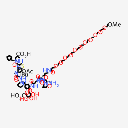 CC[C@H](C)[C@H](NC(=O)[C@H]1CCCC[N+]1(C)Cc1ccc(O[C@@H]2O[C@H](C(=O)O)[C@@H](O)[C@H](O)[C@H]2O)c(NC(=O)CCNC(=O)[C@H](CCCCNC(=O)CCOCCOCCOCCOCCOCCOCCOCCOCCOCCOCCOCCOC)NC(=O)[C@H](CN)N2C(=O)C=CC2=O)c1)C(=O)N(C)[C@H](C[C@@H](OC(C)=O)c1nc(C(=O)N[C@@H](Cc2ccccc2)C[C@H](C)C(=O)O)cs1)C(C)C